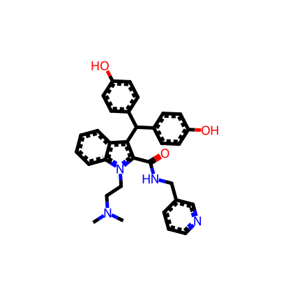 CN(C)CCn1c(C(=O)NCc2cccnc2)c(C(c2ccc(O)cc2)c2ccc(O)cc2)c2ccccc21